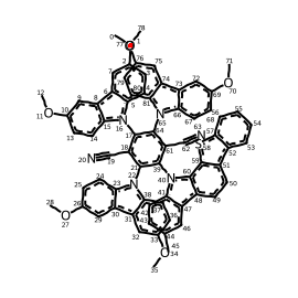 COc1ccc2c(c1)c1cc(OC)ccc1n2-c1c(C#N)c(-n2c3ccc(OC)cc3c3cc(OC)ccc32)c(-n2c3ccc(C)cc3c3ccc4c5ccccc5sc4c32)c(C#N)c1-n1c2ccc(OC)cc2c2cc(OC)ccc21